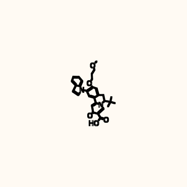 COCCCOc1cc2c(cc1-n1ccc3ccccc31)-c1cc(=O)c(C(=O)O)cn1C(C(C)(C)C)C2